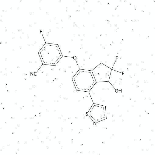 N#Cc1cc(F)cc(Oc2ccc(-c3ccns3)c3c2CC(F)(F)C3O)c1